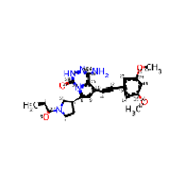 C=CC(=O)N1CC[C@H](c2cc(C#Cc3cc(OC)cc(OC)c3)c3c(N)n[nH]c(=O)n23)C1